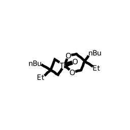 CCCCC1(CC)C[O][Ti]2(=[O])([CH2]C(CC)(CCCC)[CH2]2)[O]C1